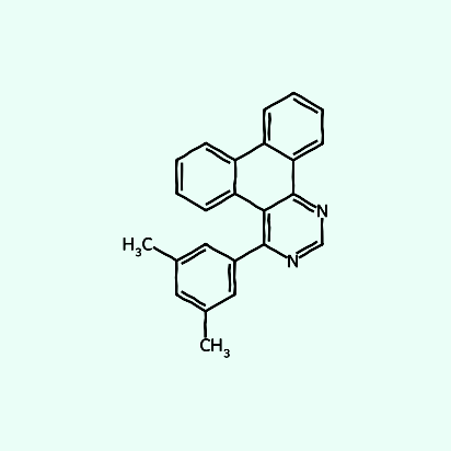 Cc1cc(C)cc(-c2ncnc3c4ccccc4c4ccccc4c23)c1